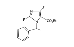 CCOC(=O)c1c(F)nc(F)n1C(C)c1ccccc1